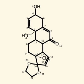 C[C@]12C=CC(O)CC1=CC(=O)C1C2CC[C@@]2(C)C1C=CC21OCCO1